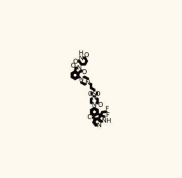 O=C1CCC(N2C(=O)c3cccc(N4CCN(CCCS(=O)(=O)N5CCN(c6cccc(C7(CC(F)F)CNc8nccc(Cl)c87)c6)C(=O)C5)CC4)c3C2=O)C(=O)N1